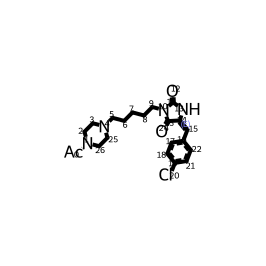 CC(=O)N1CCN(CCCCCN2C(=O)N/C(=C/c3ccc(Cl)cc3)C2=O)CC1